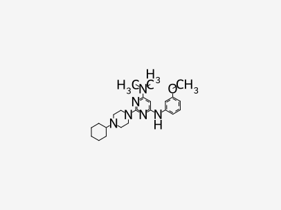 COc1cccc(Nc2cc(N(C)C)nc(N3CCN(C4CCCCC4)CC3)n2)c1